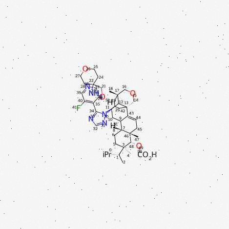 CC(C)[C@@H](C)[C@@]1(C)CC[C@]2(C)[C@H]3CC[C@@H]4[C@@]5(COC[C@@]4(C)[C@@H](OCC4(N)CCOCC4)[C@H](n4ncnc4-c4ccncc4F)C5)C3=CC[C@]2(C)[C@@H]1OC(=O)O